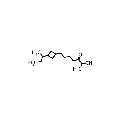 CCC(C)C1CC(CCCCC(=O)C(C)C)C1